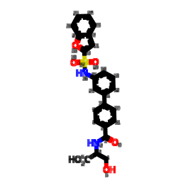 O=C(NC(CO)C(=O)O)c1ccc(-c2cccc(NS(=O)(=O)c3cc4ccccc4o3)c2)cc1